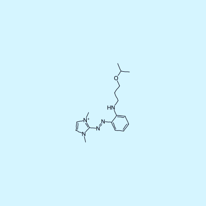 CC(C)OCCCNc1ccccc1/N=N/c1n(C)cc[n+]1C